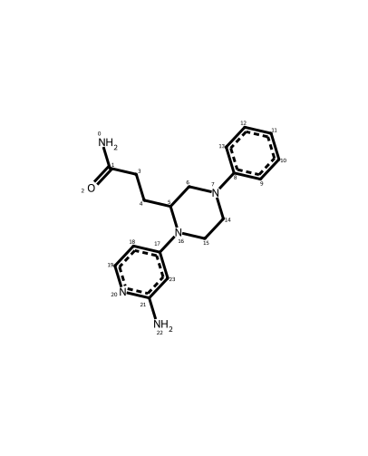 NC(=O)CCC1CN(c2ccccc2)CCN1c1ccnc(N)c1